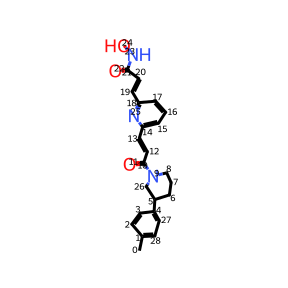 Cc1ccc(C2CCCN(C(=O)/C=C/c3cccc(/C=C/C(=O)NO)n3)C2)cc1